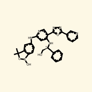 CC1(C)OB(O)c2ccc(Nc3cc(N[C@H](CO)c4ccccc4)c(-c4nnc(-c5cccnc5)o4)cn3)cc21